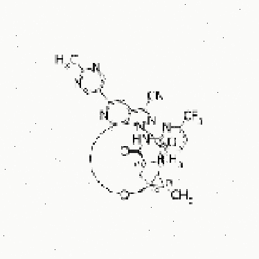 Cc1ncc(-c2cc3c(C#N)nn4c3c(n2)CCCCCCOC[C@@]23C[C@@H](C(=O)Nc5nc(C(F)(F)F)ccc5C)N(C(=O)C4)C2[C@@H]3C)cn1